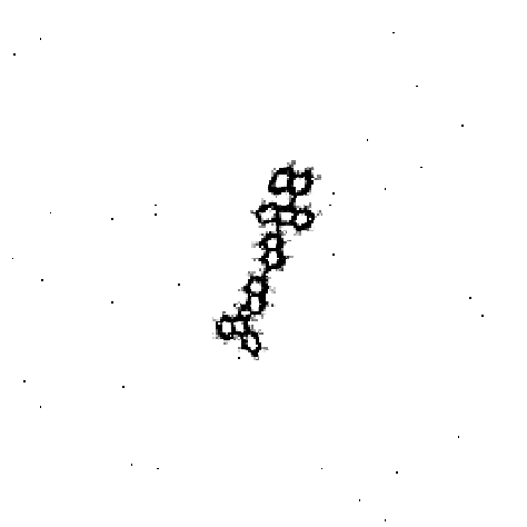 c1ccc2c(-c3c4ccccc4c(-c4ccc5cc(-c6ccc7c(ccc8c7oc7c9ccccc9c9ccccc9c87)c6)ccc5c4)c4ccccc34)cccc2c1